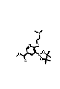 COC(=O)c1cnc(OCCN(C)C)c(B2OC(C)(C)C(C)(C)O2)c1